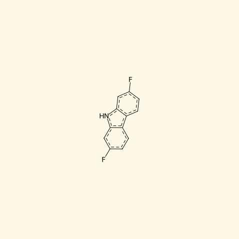 Fc1ccc2c(c1)[nH]c1cc(F)ccc12